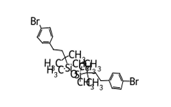 CC(C)(CCc1ccc(Br)cc1)[Si](C)(C)O[Si](C)(C)C(C)(C)CCc1ccc(Br)cc1